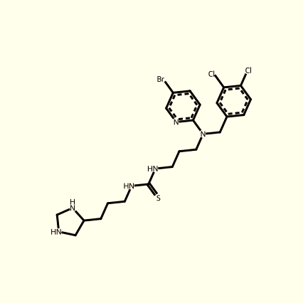 S=C(NCCCC1CNCN1)NCCCN(Cc1ccc(Cl)c(Cl)c1)c1ccc(Br)cn1